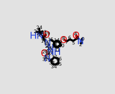 CN(C)C(=O)CCCOc1ccc2c(c1)CN(CC(=O)NC(C)(C)C)CN2NC(=O)N(C)C1CCCCC1